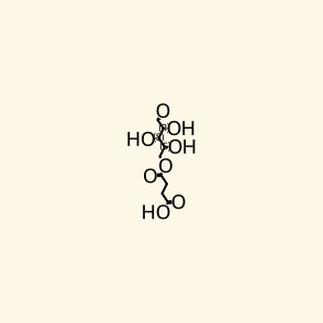 O=C[C@H](O)[C@@H](O)[C@@H](O)COC(=O)CCC(=O)O